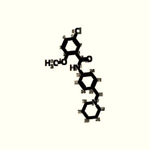 COc1ccc(Cl)cc1C(=O)Nc1ccc(CN2CCCCC2)cc1